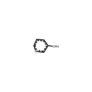 COc1[c]n[c]cc1